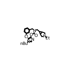 CCCCn1cnc(OC(=O)N(Cc2cccc(Cl)c2)CC2C3CN(CC)CC32)c1